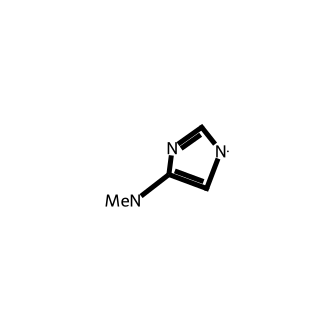 CNC1=C[N]C=N1